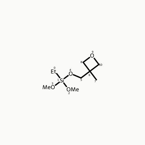 CC[Si](OC)(OC)OCC1(C)COC1